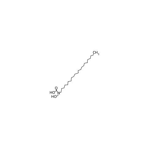 CCCCCCCCCCCCCCCCCCCCCCN(CO)C(=O)O